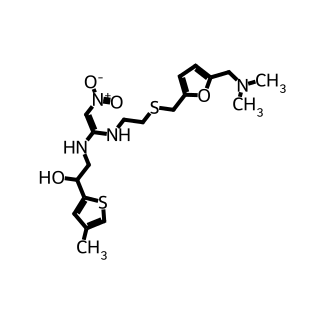 Cc1csc(C(O)CNC(=C[N+](=O)[O-])NCCSCc2ccc(CN(C)C)o2)c1